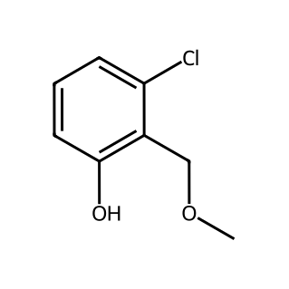 COCc1c(O)cccc1Cl